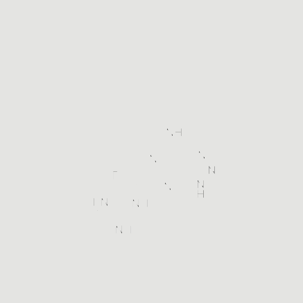 CCC(NC(=N)N)c1nc(NCc2ccccc2)c2nn[nH]c2n1